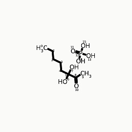 CCCCCC(O)(O)C(C)=O.O=P(O)(O)O